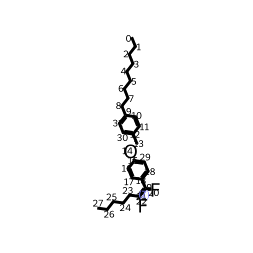 CCCCCCCCCc1ccc(COc2ccc(/C(F)=C(/F)CCCCC)cc2)cc1